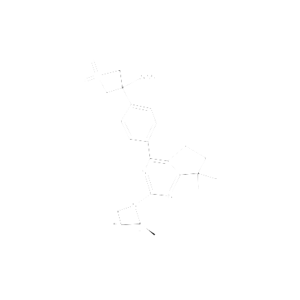 CNC1(c2ccc(-c3nc(N4C[C@@H](F)[C@@H]4C)nc4c3CCC4(F)F)cc2)CS(=O)(=O)C1